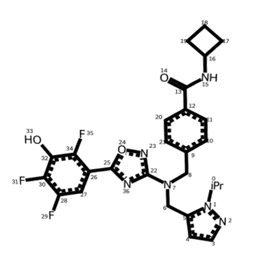 CC(C)n1nccc1CN(Cc1ccc(C(=O)NC2CCC2)cc1)c1noc(-c2cc(F)c(F)c(O)c2F)n1